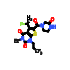 CCn1c(=O)c2c(C(C)F)c(C(=O)N3CCNC(=O)C3)sc2n(CCC(F)(F)F)c1=O